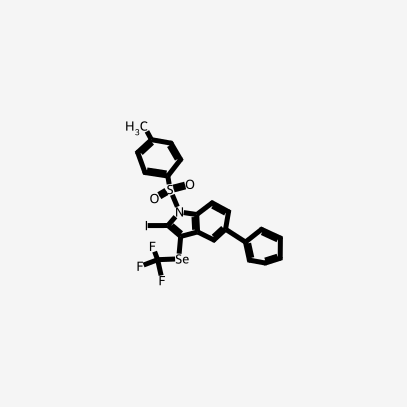 Cc1ccc(S(=O)(=O)n2c(I)c([Se]C(F)(F)F)c3cc(-c4ccccc4)ccc32)cc1